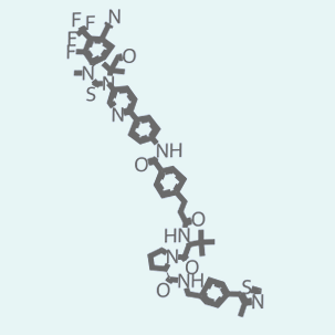 Cc1ncsc1-c1ccc(CNC(=O)[C@@H]2CCCN2C(=O)C(NC(=O)CCc2ccc(C(=O)Nc3ccc(-c4ccc(N(C(=S)N(C)c5ccc(C#N)c(C(F)(F)F)c5F)C(C)(C)C=O)cn4)cc3)cc2)C(C)(C)C)cc1